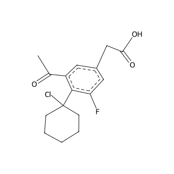 CC(=O)c1cc(CC(=O)O)cc(F)c1C1(Cl)CCCCC1